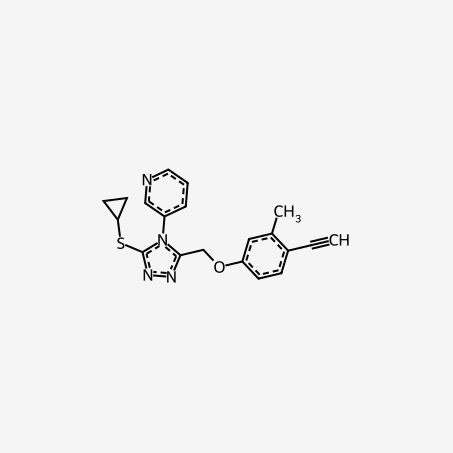 C#Cc1ccc(OCc2nnc(SC3CC3)n2-c2cccnc2)cc1C